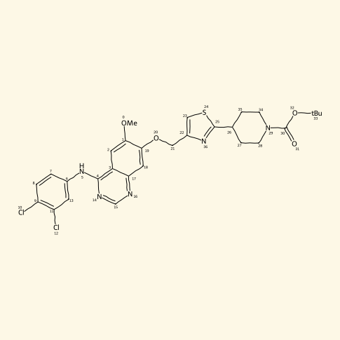 COc1cc2c(Nc3ccc(Cl)c(Cl)c3)ncnc2cc1OCc1csc(C2CCN(C(=O)OC(C)(C)C)CC2)n1